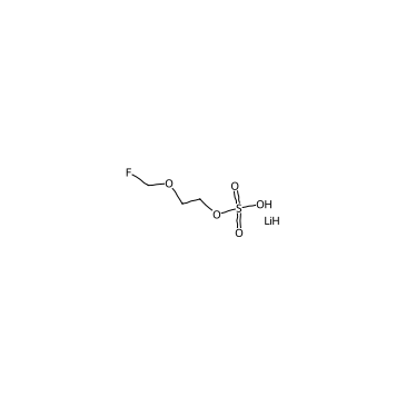 O=S(=O)(O)OCCOCF.[LiH]